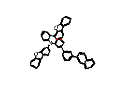 c1cc(-c2cccc(N(c3ccc4c(c3)oc3ccccc34)c3ccccc3-c3cccc4c3oc3ccccc34)c2)cc(-c2ccc3ccccc3c2)c1